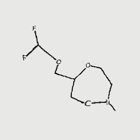 CN1CCOC(COC(F)F)CC1